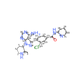 C[C@H]1NCCCC1n1nc(-c2ccc(C(=O)Nc3ccccn3)cc2Cl)c2c(N)ncnc21